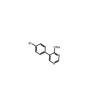 COc1ncncc1-c1ccc(C(C)C)cc1